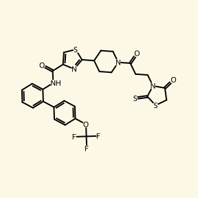 O=C(Nc1ccccc1-c1ccc(OC(F)(F)F)cc1)c1csc(C2CCN(C(=O)CCN3C(=O)CSC3=S)CC2)n1